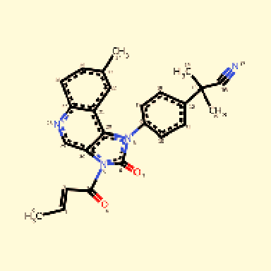 CC=CC(=O)n1c(=O)n(-c2ccc(C(C)(C)C#N)cc2)c2c3cc(C)ccc3ncc21